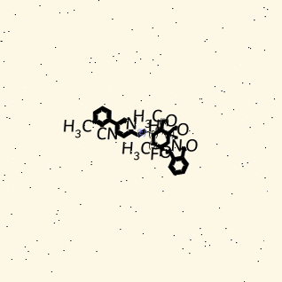 Cc1cccc(-c2ccc(/C=C/[C@@H]3[C@@H]4[C@@H](C)OC(=O)[C@]4(CN4C(=O)c5ccccc5C4=O)CC(F)(F)[C@H]3C)nc2)c1C#N